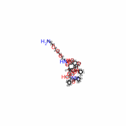 CC1=C2[C@@H](OC(=O)NCCCOCCOCCOCCCN)C(=O)C3(C)C([C@@H]4COC4C[C@@H]3O)[C@H](OC(=O)c3ccccc3)[C@](O)(C[C@@H]1OC(=O)[C@H](O)[C@@H](NC(=O)c1ccccc1)c1ccccc1)C2(C)C